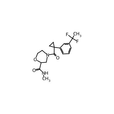 CNC(=O)C1CN(C(=O)C2(c3cccc(C(C)(F)F)c3)CC2)CCO1